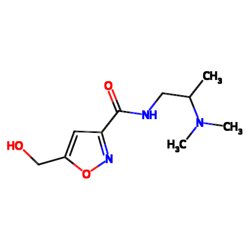 CC(CNC(=O)c1cc(CO)on1)N(C)C